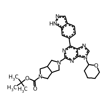 CC(C)(C)OC(=O)N1CC2CN(c3nc(-c4ccc5cn[nH]c5c4)c4ncn(C5CCCCO5)c4n3)CC2C1